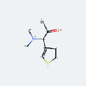 CCC(=O)C(C1=CSCC1)N(C)C